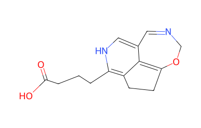 O=C(O)CCCC1=C2CCC3=C2C(=CN1)C=NCO3